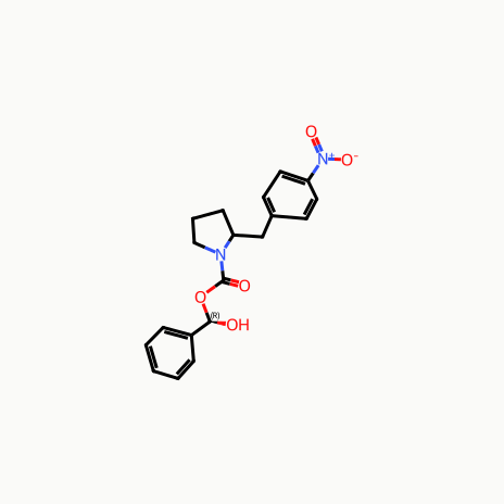 O=C(O[C@@H](O)c1ccccc1)N1CCCC1Cc1ccc([N+](=O)[O-])cc1